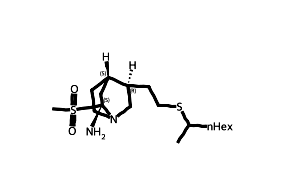 CCCCCCC(C)SCC[C@H]1CN2CC[C@H]1C[C@@]2(N)S(C)(=O)=O